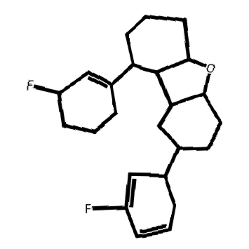 FC1=CC(C2CCC3OC4CCCC(C5=CC(F)CCC5)C4C3C2)CC=C1